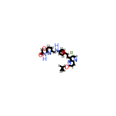 CC1(COc2ccc3ncc(F)c(CCC45CCC(NCc6ccc7c(n6)NC(=O)CO7)(CC4)CO5)c3n2)CC1